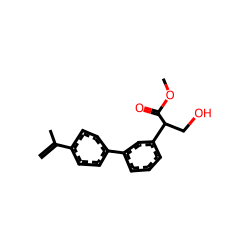 C=C(C)c1ccc(-c2cccc(C(CO)C(=O)OC)c2)cc1